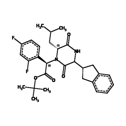 CC(C)C[C@@H]1C(=O)NC(C2Cc3ccccc3C2)C(=O)N1[C@@H](C(=O)OC(C)(C)C)c1ccc(F)cc1F